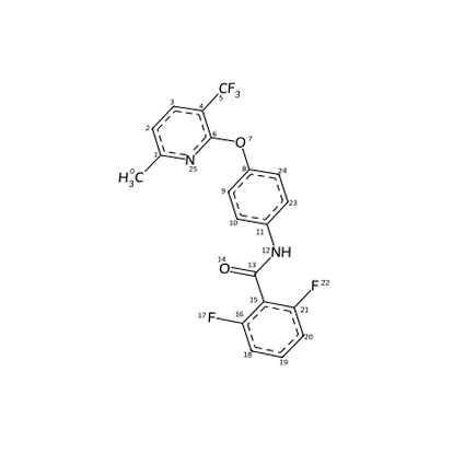 Cc1ccc(C(F)(F)F)c(Oc2ccc(NC(=O)c3c(F)cccc3F)cc2)n1